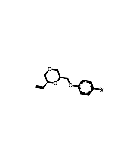 C=C[C@H]1COC[C@@H](COc2ccc(Br)cc2)O1